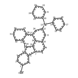 Brc1ccc2c(c1)c1ccc3cc(N(c4ccccc4)c4ccccc4)cc4c5ccccc5n2c1c34